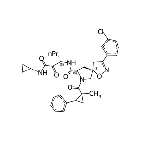 CCC[C@H](NC(=O)[C@@H]1C[C@]2(CC(c3cccc(Cl)c3)=NO2)CN1C(=O)C1(C)CC1c1ccccc1)C(=O)C(=O)NC1CC1